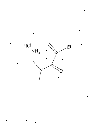 C=C(CC)C(=O)N(C)C.Cl.N